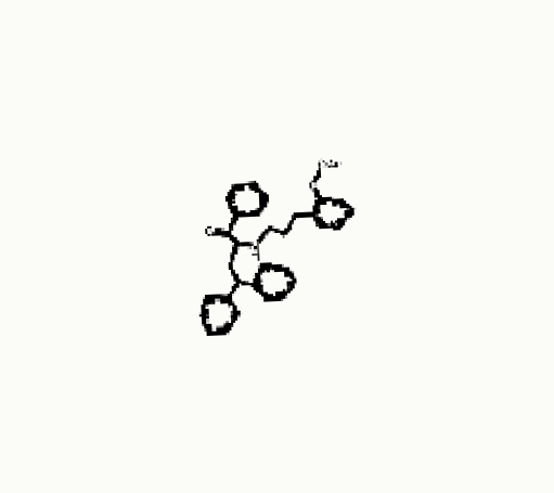 CC(=O)OOc1ccccc1CCCNC(CC(c1ccccc1)c1ccccc1)C(=O)c1ccccc1